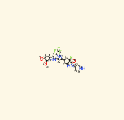 COc1ccc([C@@H]2C[C@H](C(F)(F)F)n3nc(-c4ccc(C(=O)NC5CCNCC5)c(F)c4)cc3N2)cc1OC